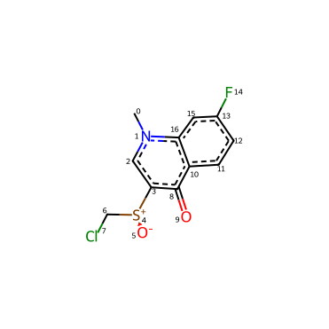 Cn1cc([S@@+]([O-])CCl)c(=O)c2ccc(F)cc21